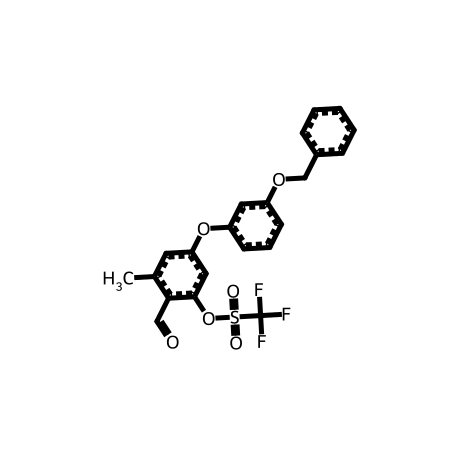 Cc1cc(Oc2cccc(OCc3ccccc3)c2)cc(OS(=O)(=O)C(F)(F)F)c1C=O